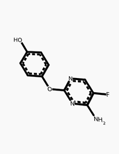 Nc1nc(Oc2ccc(O)cc2)ncc1F